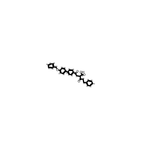 O=C(CC(C(=O)O)C(=O)CCc1ccccc1)c1ccc(-c2ccc(OCc3ccccc3)cc2)cc1